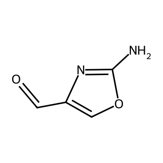 Nc1nc(C=O)co1